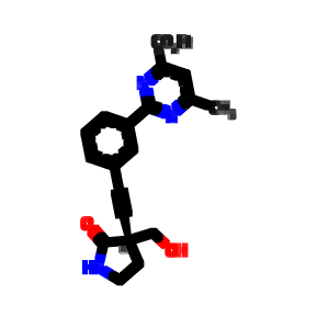 CCOC(=O)c1cc(C)nc(-c2cccc(C#C[C@@]3(CO)CCNC3=O)c2)n1